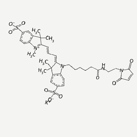 C[N+]1=C(/C=C/C=C2/N(CCCCCC(=O)NCCN3C(=O)C=CC3=O)c3ccc(S(=O)(=O)[O-])cc3C2(C)C)C(C)(C)c2cc(S(=O)(=O)[O-])ccc21.[K+]